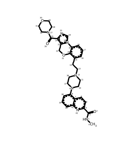 CNC(=O)c1ccc2c(N3CCN(CCc4cccc5c4OCc4c(C(=O)N6CCOCC6)ncn4-5)CC3)cccc2n1